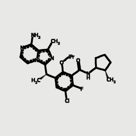 Cc1nc([C@@H](C)c2cc(Cl)c(F)c(C(=O)NC3CCC[C@@H]3C)c2OC(C)C)n2ccnc(N)c12